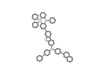 c1ccc(-c2ccc(N(c3ccc(-c4ccc5ccccc5c4)cc3)c3ccc4c(c3)oc3cc(-c5ccc6c(c5)N(c5ccccc5)c5ccccc5[Si]6(c5ccccc5)c5ccccc5)ccc34)cc2)cc1